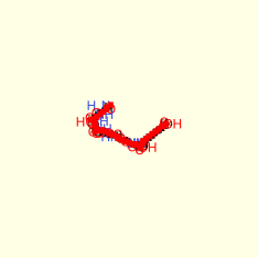 CC(=O)[C@@H](N)CCCCNC(=O)CC[C@H](NC(=O)CC[C@H](NC(=O)COCCOCCNC(=O)COCCOCCNC(=O)CC[C@H](NC(=O)CCCCCCCCCCCCCCC(=O)O)C(=O)O)C(=O)O)C(=O)O